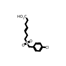 O=C(O)CCC=CCCS(=O)(=O)Cc1ccc(Cl)cc1